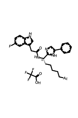 CC(=O)CCCCC[C@H](NC(=O)Cc1c[nH]c2ccc(F)cc12)c1ncc(-c2ccccc2)[nH]1.O=C(O)C(F)(F)F